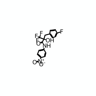 O=C(Nc1ccc([N+](=O)[O-])cc1)C(O)(Cc1ccc(F)cc1)C(F)(F)F